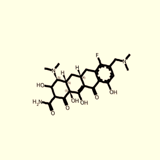 CN(C)Cc1cc(O)c2c(c1F)C[C@H]1C[C@H]3[C@H](N(C)C)C(O)C(C(N)=O)C(=O)[C@@]3(O)C(O)=C1C2=O